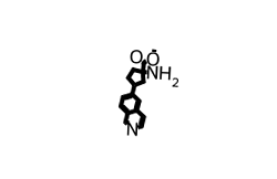 COC(=O)C1(N)CCC(c2ccc3cnccc3c2)C1